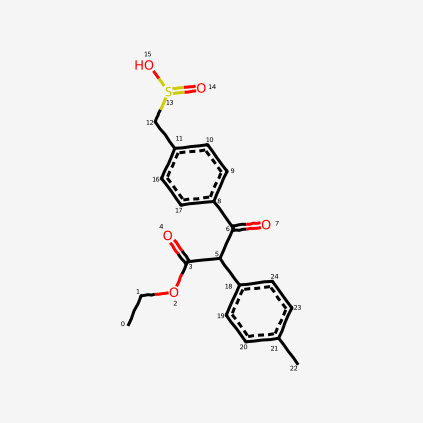 CCOC(=O)C(C(=O)c1ccc(CS(=O)O)cc1)c1ccc(C)cc1